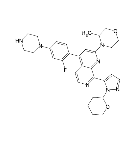 CC1COCCN1c1cc(-c2ccc(N3CCNCC3)cc2F)c2ccnc(-c3ccnn3C3CCCCO3)c2n1